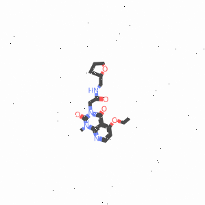 CCOc1ccnc2c1c(=O)n(CC(=O)NCC1CCCO1)c(=O)n2C